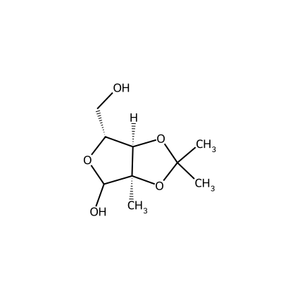 CC1(C)O[C@@H]2[C@@H](CO)OC(O)[C@]2(C)O1